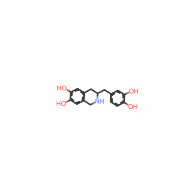 Oc1ccc(CC2Cc3cc(O)c(O)cc3CN2)cc1O